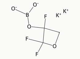 [K+].[K+].[O-]B([O-])OC1(F)COC1(F)F